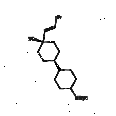 CCCC=C[C@]1(C#N)CC[C@@H](C2CCC(CCCCCCC)CC2)CC1